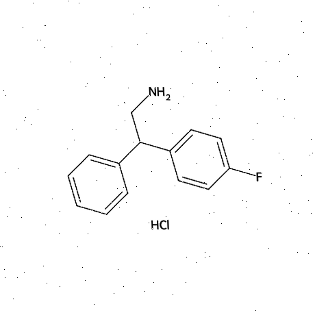 Cl.NCC(c1ccccc1)c1ccc(F)cc1